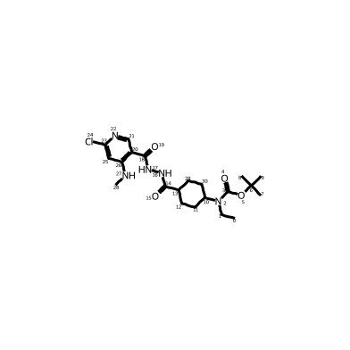 CCN(C(=O)OC(C)(C)C)C1CCC(C(=O)NNC(=O)c2cnc(Cl)cc2NC)CC1